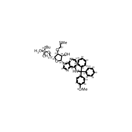 COc1ccc(C(Nc2ncnc3c2ncn3[C@@H]2O[C@H](CO[Si](C)(C)C(C)(C)C)[C@@H](OCSC)[C@H]2O)(c2ccccc2)c2ccccc2)cc1